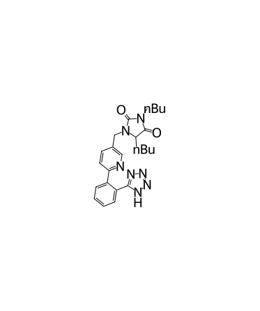 CCCCC1C(=O)N(CCCC)C(=O)N1Cc1ccc(-c2ccccc2-c2nnn[nH]2)nc1